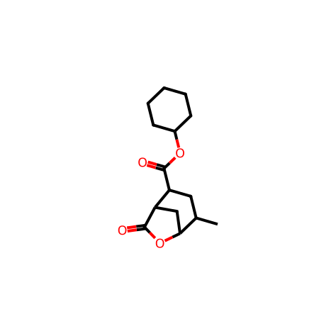 CC1CC(C(=O)OC2CCCCC2)C2CC1OC2=O